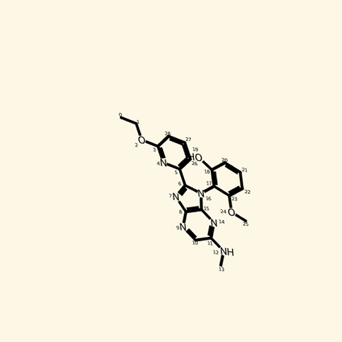 CCOC1=NC(c2nc3ncc(NC)nc3n2-c2c(O)cccc2OC)=C=C=C1